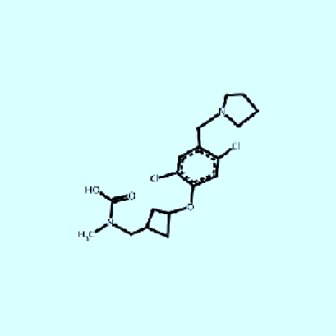 CN(CC1CC(Oc2cc(Cl)c(CN3CCCC3)cc2Cl)C1)C(=O)O